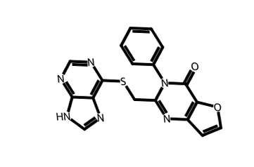 O=c1c2occc2nc(CSc2ncnc3[nH]cnc23)n1-c1ccccc1